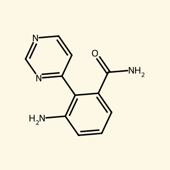 NC(=O)c1cccc(N)c1-c1ccncn1